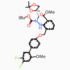 COC(=O)c1cccc(COc2ccc(-c3cc(F)c(F)cc3OC)cc2)c1NN(C[C@H]1COC(C)(C)O1)C(=O)OC(C)(C)C